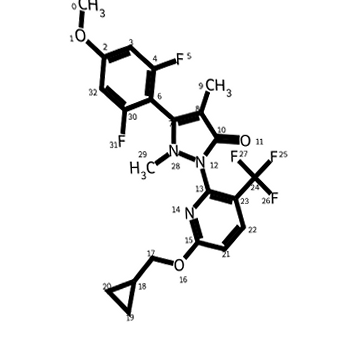 COc1cc(F)c(-c2c(C)c(=O)n(-c3nc(OCC4CC4)ccc3C(F)(F)F)n2C)c(F)c1